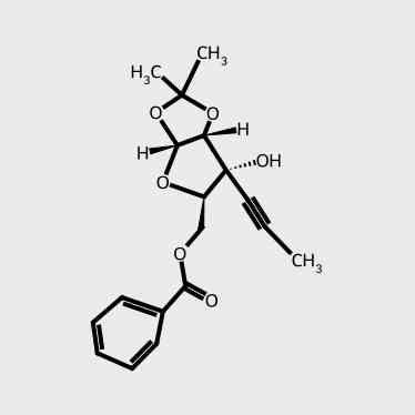 CC#C[C@@]1(O)[C@@H](COC(=O)c2ccccc2)O[C@@H]2OC(C)(C)O[C@@H]21